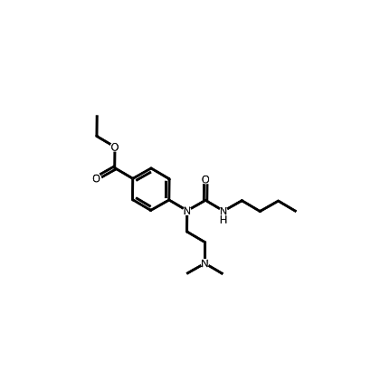 CCCCNC(=O)N(CCN(C)C)c1ccc(C(=O)OCC)cc1